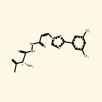 C=C(C)[C@@H](N)C(=O)NNC(=O)/C=C\n1cnc(-c2cc(C(F)(F)F)cc(C(F)(F)F)c2)n1